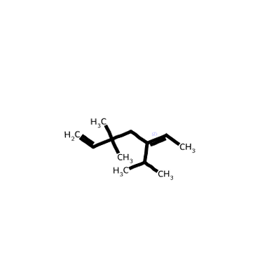 C=CC(C)(C)C/C(=[C]/C)C(C)C